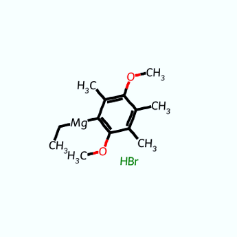 Br.C[CH2][Mg][c]1c(C)c(OC)c(C)c(C)c1OC